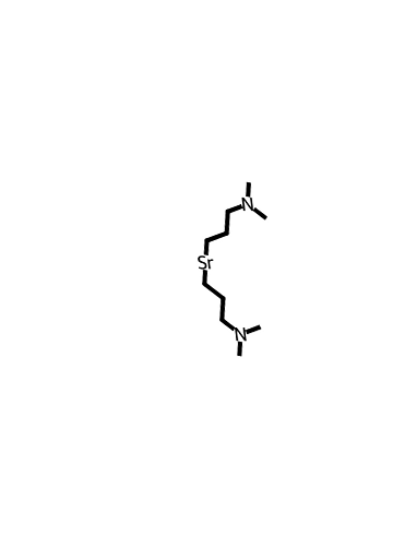 CN(C)CC[CH2][Sr][CH2]CCN(C)C